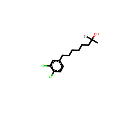 CCC(C)(O)CCCCCCc1ccc(Cl)c(Cl)c1